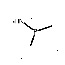 CNP(C)C